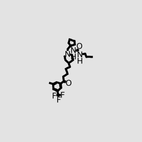 CCCNC(=O)NC1(CN2CCC(CCCCC(=O)c3cc(C)cc(C(F)(F)F)c3)CC2)CCCC1